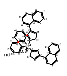 Cl.[GeH2]=[Hf]([C]1=CC(c2cccc3ccccc23)=CC1)([C]1=CC(c2cccc3ccccc23)=CC1)([c]1ccccc1)[c]1ccccc1